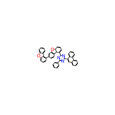 C1=CC2Oc3cc(-c4cccc5oc6ccccc6c45)ccc3C2C(c2nc(-c3ccccc3)nc(-c3cc4ccccc4c4ccccc34)n2)=C1